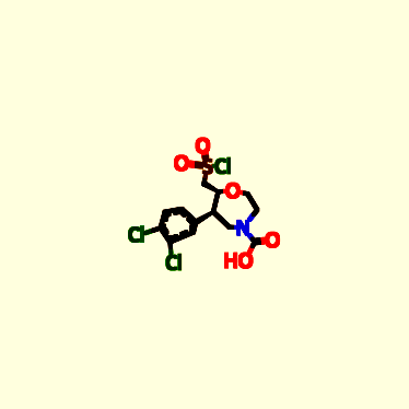 O=C(O)N1CCO[C@H](CS(=O)(=O)Cl)[C@H](c2ccc(Cl)c(Cl)c2)C1